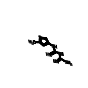 Cc1cc(NC(=N)NC(=N)N)cs1